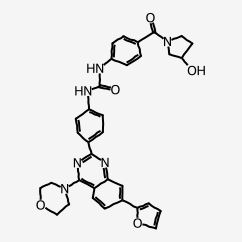 O=C(Nc1ccc(C(=O)N2CCC(O)C2)cc1)Nc1ccc(-c2nc(N3CCOCC3)c3ccc(-c4ccco4)cc3n2)cc1